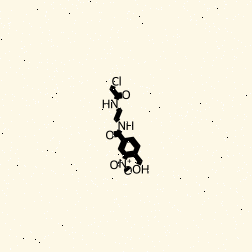 O=C(CCl)NCCNC(=O)c1ccc(CO)c([N+](=O)[O-])c1